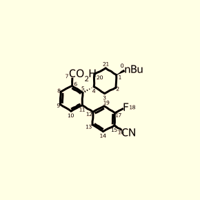 CCCC[C@H]1CC[C@H](c2c(C(=O)O)cccc2-c2ccc(C#N)c(F)c2)CC1